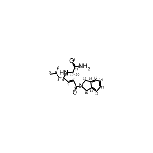 CC(C)C[C@@H](/C=C/C(=O)N1Cc2ccccc2C1)N[C@@H](C)C(N)=O